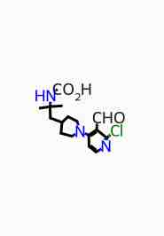 CC(C)(CC1CCN(c2ccnc(Cl)c2C=O)CC1)NC(=O)O